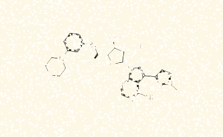 Cn1ccc(-c2cn([C@@H]3O[C@H](C(=O)Nc4cccc(N5CCOCC5)c4)[C@@H](O)[C@H]3O)c3ncnc(N)c23)n1